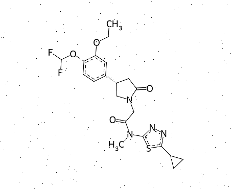 CCOc1cc([C@@H]2CC(=O)N(CC(=O)N(C)c3nnc(C4CC4)s3)C2)ccc1OC(F)F